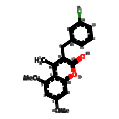 COc1cc(OC)c2c(C)c(Cc3cccc(Cl)c3)c(=O)oc2c1